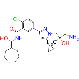 CC(O)(CN)Cn1nc(-c2ccc(Cl)c(C(=O)NC(O)C3CCCCCC3)c2)cc1C1CC1